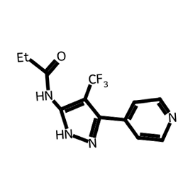 CCC(=O)Nc1[nH]nc(-c2ccncc2)c1C(F)(F)F